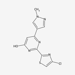 Cn1cc(-c2cc(O)nc(-c3nc(Cl)cs3)n2)cn1